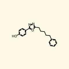 Oc1ccc(-c2nnc(CCCCCc3ccccc3)o2)cc1